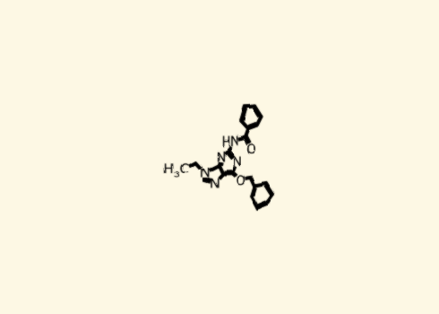 CCn1cnc2c(OCc3ccccc3)nc(NC(=O)c3ccccc3)nc21